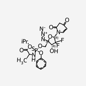 CC(C)OC(=O)C(C)NP(=S)(OC[C@@]1(N=[N+]=[N-])O[C@@H](N2C=CC(=O)CC2=O)C(F)(F)[C@@H]1O)Oc1ccccc1